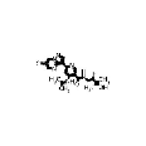 CC(C)Nc1cc(-c2cnn3cc(Cl)cnc23)ncc1C(=O)NCC(F)C(C)(C)O